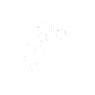 CC(NC1CCC(n2cc(C(N)=O)c(Nc3ccc(Cl)c(F)c3)n2)C(C#N)C1)C1CC1